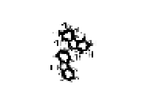 [2H]c1c([2H])c([2H])c2c(c1[2H])c1c([2H])c([2H])c([2H])c([2H])c1n2-c1ccc2[nH]c3ccccc3c2c1